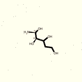 N[C@@H](O)[C@H](O)C(O)CCO